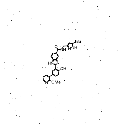 COc1ncccc1-c1ccc(O)c(-c2nc3cc(C(=O)NCc4cc(C(C)(C)C)[nH]n4)ccc3[nH]2)c1